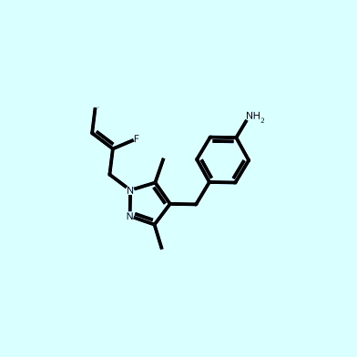 [CH2]/C=C(\F)Cn1nc(C)c(Cc2ccc(N)cc2)c1C